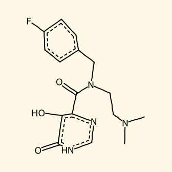 CN(C)CCN(Cc1ccc(F)cc1)C(=O)c1nc[nH]c(=O)c1O